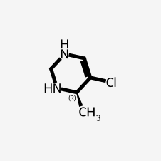 C[C@H]1NCNC=C1Cl